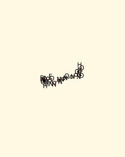 CCN(C)S(=O)(=O)Nc1ccc(F)c(C(=O)c2c[nH]c3ncc(-c4cnc(N5CCN(C(=O)CC6CCN(c7ccc8c(c7)n(C)c(=O)n8C7CCC(=O)NC7=O)CC6)CC5)nc4)cc23)c1F